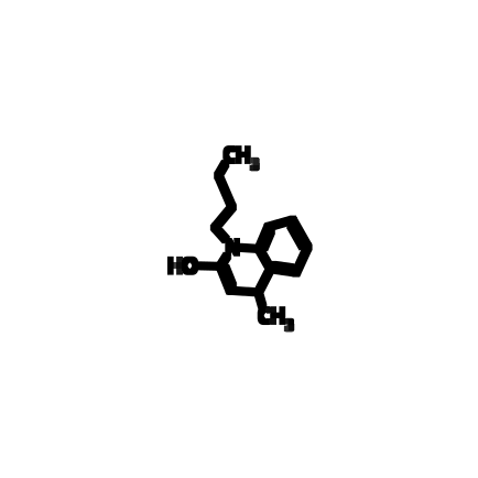 CCCCN1C(O)=CC(C)c2ccccc21